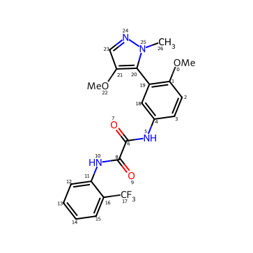 COc1ccc(NC(=O)C(=O)Nc2ccccc2C(F)(F)F)cc1-c1c(OC)cnn1C